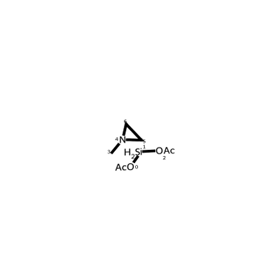 CC(=O)O[SiH2]OC(C)=O.CN1CC1